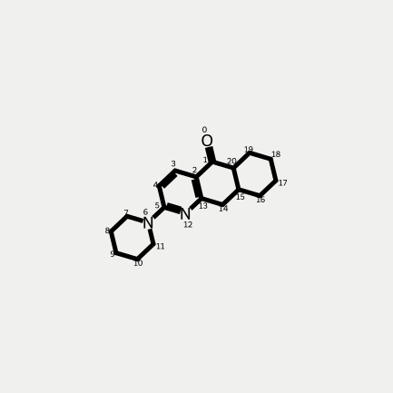 O=C1c2ccc(N3CCCCC3)nc2CC2CCCCC12